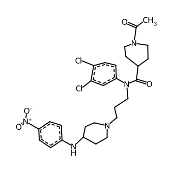 CC(=O)N1CCC(C(=O)N(CCCN2CCC(Nc3ccc([N+](=O)[O-])cc3)CC2)c2ccc(Cl)c(Cl)c2)CC1